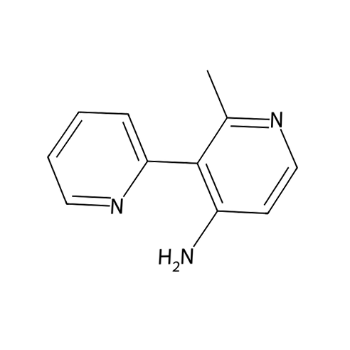 Cc1nccc(N)c1-c1ccccn1